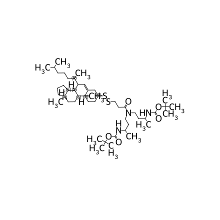 CC(C)CCC[C@@H](C)C1C=C2C[C@@H](SSCCC(=O)N(CCC(C)NC(=O)OC(C)(C)C)CCC(C)NC(=O)OC(C)(C)C)CC[C@]2(C)[C@H]2CC[C@@]3(C)CCC[C@H]3[C@H]12